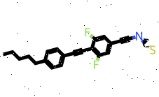 CCCCCc1ccc(C#Cc2c(F)cc(C#CN=C=S)cc2F)cc1